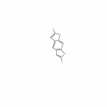 Ic1cc2cc3cc(I)oc3cc2o1